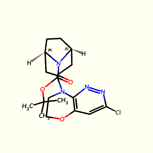 CC(C)(C)OC(=O)N1[C@@H]2CC[C@H]1CC(N1CCOc3cc(Cl)nnc31)C2